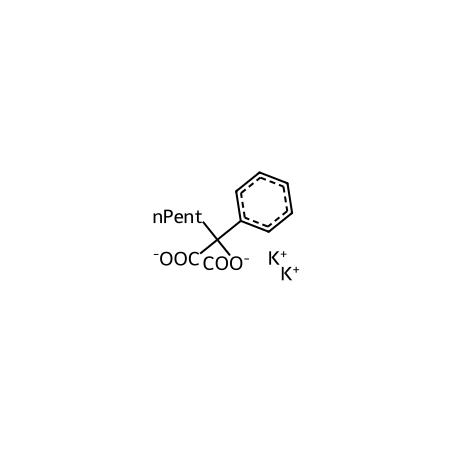 CCCCCC(C(=O)[O-])(C(=O)[O-])c1ccccc1.[K+].[K+]